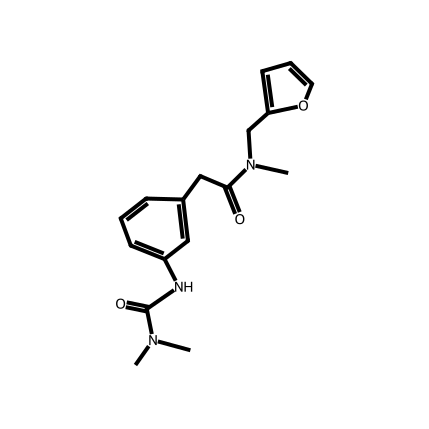 CN(C)C(=O)Nc1cccc(CC(=O)N(C)Cc2ccco2)c1